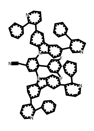 N#Cc1cc(-n2c3ccc(-c4cnccc4-c4ccccc4)cc3c3cc(-c4cccnc4-c4ccccc4)ccc32)c(-c2cc(F)cc(F)c2)c(-n2c3ccc(-c4cccnc4-c4ccccc4)cc3c3cc(-c4cccnc4-c4ccccc4)ccc32)c1